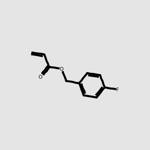 C=CC(=O)OCc1ccc(F)cc1